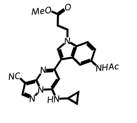 COC(=O)CCn1cc(-c2cc(NC3CC3)n3ncc(C#N)c3n2)c2cc(NC(C)=O)ccc21